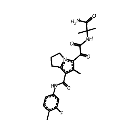 Cc1ccc(NC(=O)c2c(C)c(C(=O)C(=O)NC(C)(C)C(N)=O)n3c2CCC3)cc1F